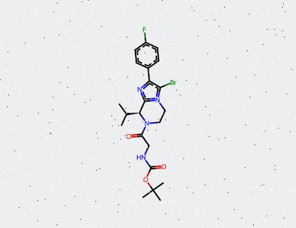 CC(C)[C@H]1c2nc(-c3ccc(F)cc3)c(Br)n2CCN1C(=O)CNC(=O)OC(C)(C)C